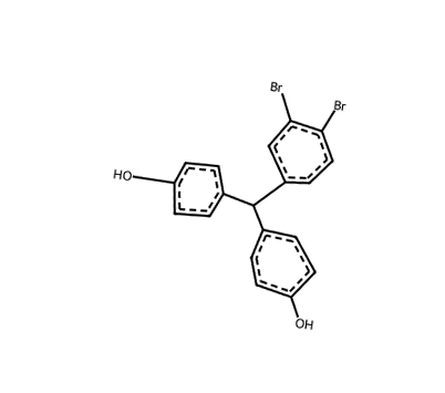 Oc1ccc(C(c2ccc(O)cc2)c2ccc(Br)c(Br)c2)cc1